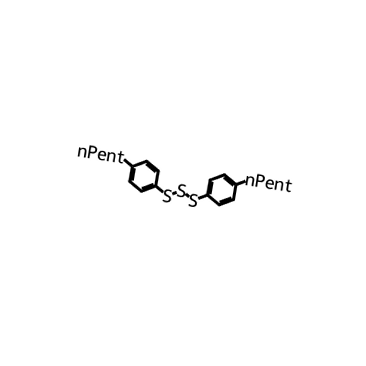 CCCCCc1ccc(SSSc2ccc(CCCCC)cc2)cc1